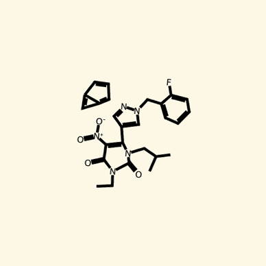 CCn1c(=O)c([N+](=O)[O-])c(-c2cnn(Cc3ccccc3F)c2)n(CC(C)C)c1=O.c1cc2cc-2c1